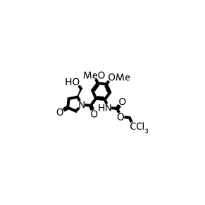 COc1cc(NC(=O)OCC(Cl)(Cl)Cl)c(C(=O)N2CC(=O)C[C@H]2CO)cc1OC